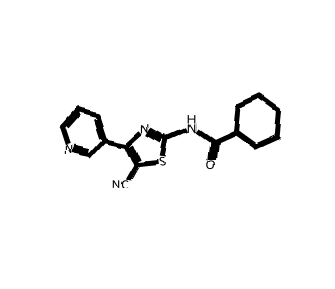 N#Cc1sc(NC(=O)C2CCCCC2)nc1-c1cccnc1